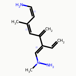 C=C/C(=C\N(C)N)C(=C)/C=C(C)\C=C/N